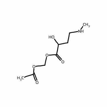 CNCCC(O)C(=O)OCOC(C)=O